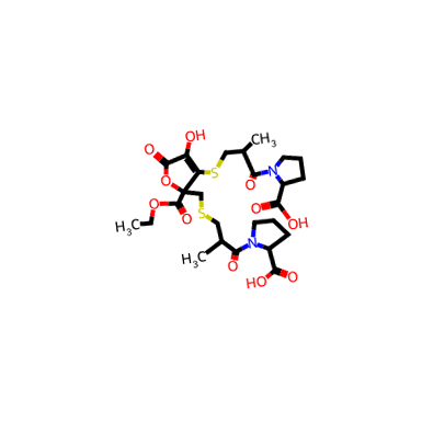 CCOC(=O)C1(CSCC(C)C(=O)N2CCCC2C(=O)O)OC(=O)C(O)=C1SCC(C)C(=O)N1CCCC1C(=O)O